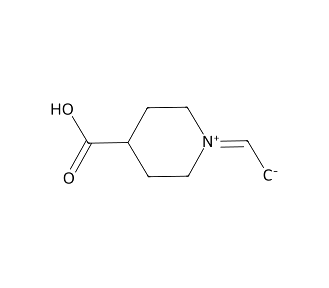 [CH2-]C=[N+]1CCC(C(=O)O)CC1